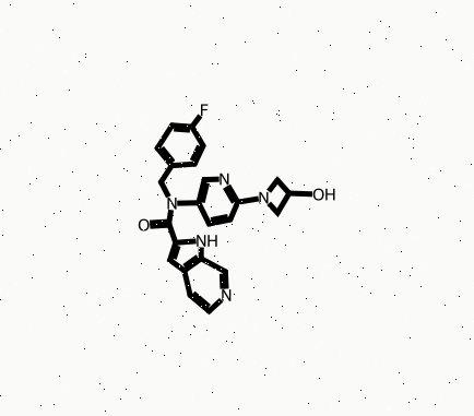 O=C(c1cc2ccncc2[nH]1)N(Cc1ccc(F)cc1)c1ccc(N2CC(O)C2)nc1